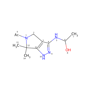 CC(=O)N1Cc2c(NC(C)O)n[nH]c2C1(C)C